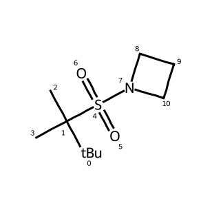 CC(C)(C)C(C)(C)S(=O)(=O)N1CCC1